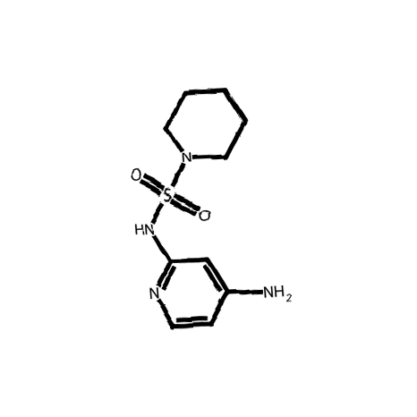 Nc1ccnc(NS(=O)(=O)N2CCCCC2)c1